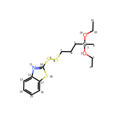 CCO[Si](C)(CCCSSc1nc2ccccc2s1)OCC